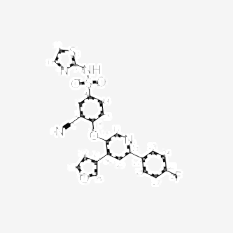 N#Cc1cc(S(=O)(=O)Nc2nccs2)ccc1Oc1cnc(-c2ccc(F)cc2)cc1-c1ccoc1